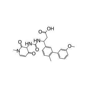 COc1cccc(-c2cc(C(CC(=O)O)NC(=O)NC3C(=O)C=CN(C)C3=O)ccc2C)c1